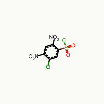 O=[N+]([O-])c1cc([N+](=O)[O-])c(S(=O)(=O)Cl)cc1Cl